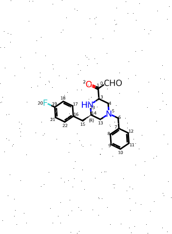 O=CC(=O)C1CN(Cc2ccccc2)C[C@@H](Cc2ccc(F)cc2)N1